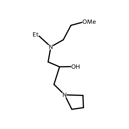 CCN(CCOC)CC(O)CN1CCC1